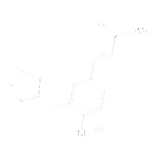 COC(=O)/C=C/c1ccc(N)c(OC2CCCC2)c1.Cl